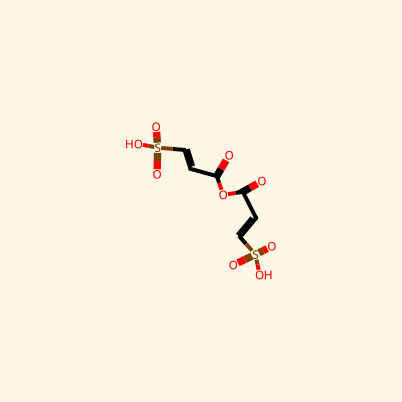 O=C(/C=C/S(=O)(=O)O)OC(=O)/C=C/S(=O)(=O)O